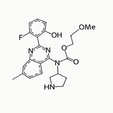 COCCOC(=O)N(c1nc(-c2c(O)cccc2F)nc2cc(C)ccc12)C1CCNC1